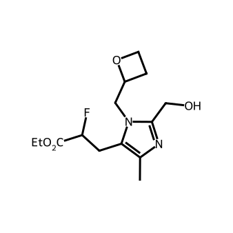 CCOC(=O)C(F)Cc1c(C)nc(CO)n1CC1CCO1